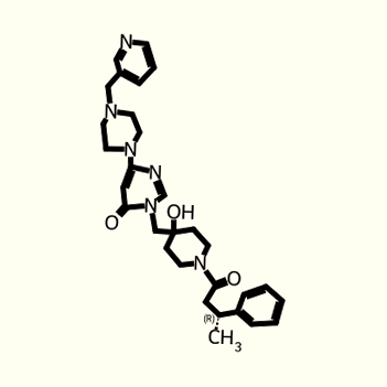 C[C@H](CC(=O)N1CCC(O)(Cn2cnc(N3CCN(Cc4cccnc4)CC3)cc2=O)CC1)c1ccccc1